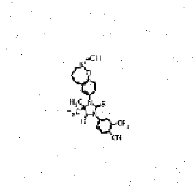 CC1(C)C(=O)N(c2ccc(C#N)c(C(F)(F)F)c2)C(=S)N1c1ccc2c(c1)CCC[C@H](CO)O2